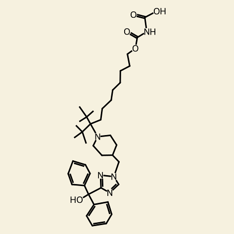 CC(C)(C)C(CCCCCCCCOC(=O)NC(=O)O)(N1CCC(Cn2cnc(C(O)(c3ccccc3)c3ccccc3)n2)CC1)C(C)(C)C